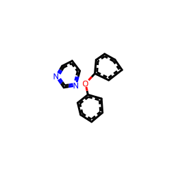 c1ccc(Oc2ccccc2)cc1.c1cncnc1